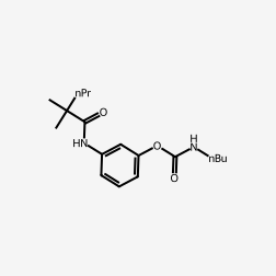 CCCCNC(=O)Oc1cccc(NC(=O)C(C)(C)CCC)c1